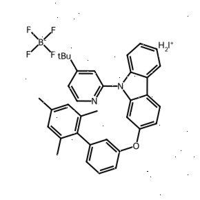 Cc1cc(C)c(-c2cccc(Oc3ccc4c5ccccc5n(-c5cc(C(C)(C)C)ccn5)c4c3)c2)c(C)c1.F[B-](F)(F)F.[IH2+]